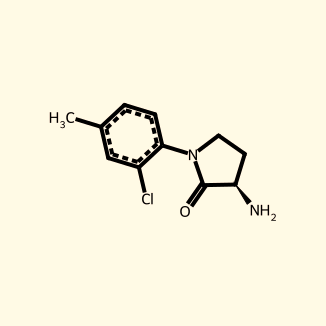 Cc1ccc(N2CC[C@@H](N)C2=O)c(Cl)c1